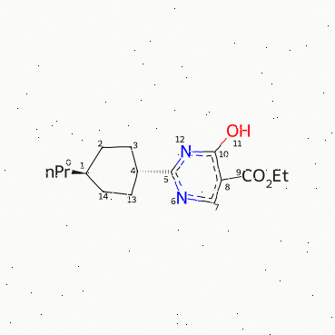 CCC[C@H]1CC[C@H](c2ncc(C(=O)OCC)c(O)n2)CC1